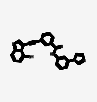 O=C(Nc1cccc(-n2ccnc2)c1)c1cccc(C#Cc2cnc3cccc(S)n23)c1